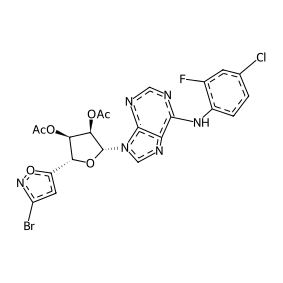 CC(=O)O[C@@H]1[C@H](OC(C)=O)[C@@H](c2cc(Br)no2)O[C@H]1n1cnc2c(Nc3ccc(Cl)cc3F)ncnc21